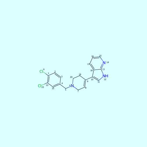 Clc1ccc(CN2CC=C(c3c[nH]c4ncccc34)CC2)cc1Cl